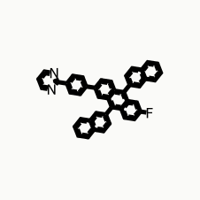 Fc1ccc2c(-c3ccc4ccccc4c3)c3cc(-c4ccc(-c5ncccn5)cc4)ccc3c(-c3ccc4ccccc4c3)c2c1